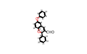 O=CC1=Cc2cc(Oc3ccccc3)ccc2OC1c1ccccc1